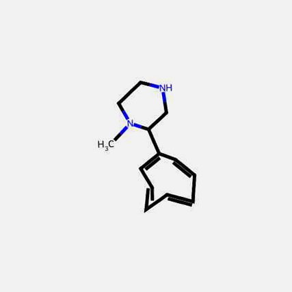 CN1CCNCC1C1=C/C=C/C=C/C=C\1